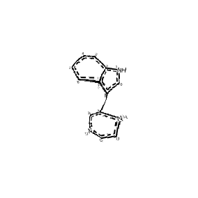 [c]1[nH]c2ccccc2c1-c1cnccn1